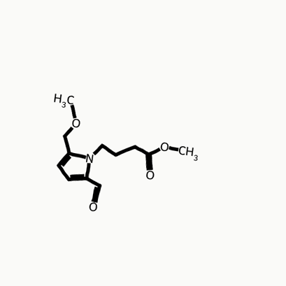 COCc1ccc(C=O)n1CCCC(=O)OC